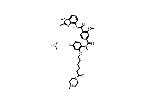 CNC.COc1cc(C(=O)N(C)c2ccc(C)cc2OCCCCCC(=O)N2CCN(C)CC2)ccc1C(=O)Nc1cccc2[nH]c(C)nc12